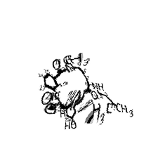 CC(C)CCN[C@H]1CCCN(C)C(=O)c2cccc(c2)S(=O)(=O)C[C@@H]2C[C@H](O)CN2C1=O